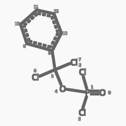 O=P(Cl)(Cl)OC(Cl)(Cl)c1ccccc1